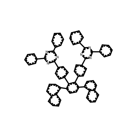 c1ccc(-c2nc(-c3ccccc3)nc(-c3ccc(-c4c(-c5cccc6ccccc56)ccc(-c5cccc6ccccc56)c4-c4ccc(-c5nc(-c6ccccc6)nc(-c6ccccc6)n5)cc4)cc3)n2)cc1